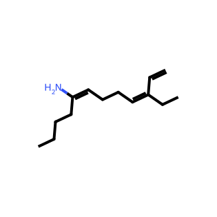 C=C/C(=C\CC/C=C(/N)CCCC)CC